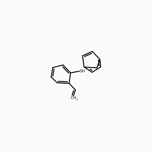 C1=CC2=CC=C1C2.C=Cc1ccccc1S